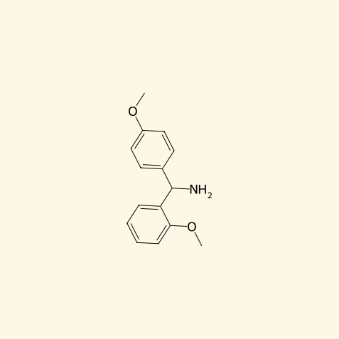 COc1ccc(C(N)c2ccccc2OC)cc1